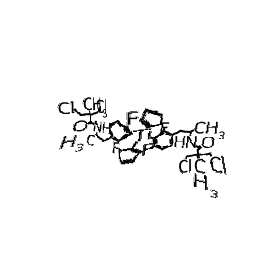 CC(Cc1ccc(F)[c]([Ti]([C]2=CC=CC2)([C]2=CC=CC2)[c]2c(F)ccc(CC(C)NC(=O)C(C)(CCl)CCl)c2F)c1F)NC(=O)C(C)(CCl)CCl